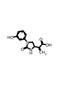 C=C(C(=O)O)C1CN(c2cccc(O)c2)C(=O)N1